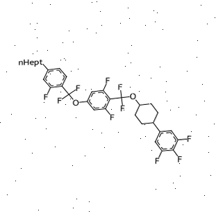 CCCCCCCc1ccc(C(F)(F)Oc2cc(F)c(C(F)(F)OC3CCC(c4cc(F)c(F)c(F)c4)CC3)c(F)c2)c(F)c1